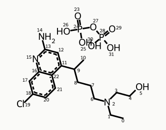 CCN(CCO)CCCC(C)c1cc(N)nc2cc(Cl)ccc12.O=P(O)(O)OP(=O)(O)O